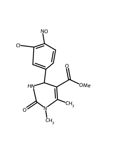 COC(=O)C1=C(C)N(C)C(=O)NC1c1ccc(N=O)c(Cl)c1